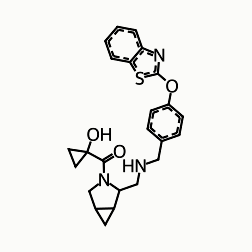 O=C(N1CC2CC2C1CNCc1ccc(Oc2nc3ccccc3s2)cc1)C1(O)CC1